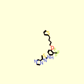 FC(F)(F)c1cc(Nc2nc(-c3cnccn3)cs2)ccc1OCCCCc1cccs1